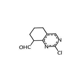 O=CC1CCCc2cnc(Cl)nc21